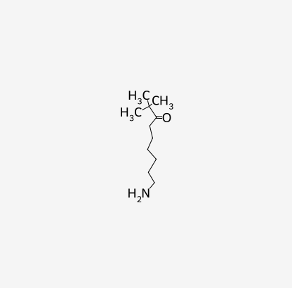 CC(C)(C)C(=O)CCCCCCN